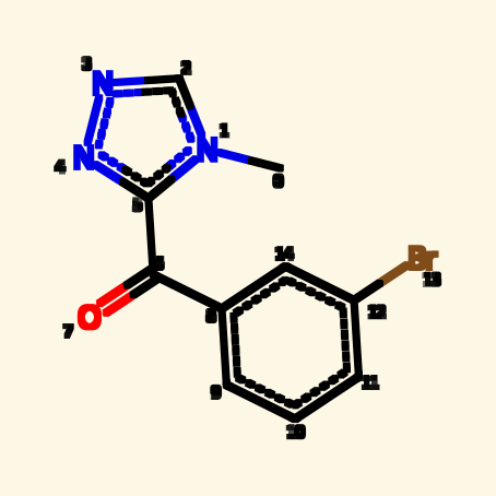 Cn1cnnc1C(=O)c1cccc(Br)c1